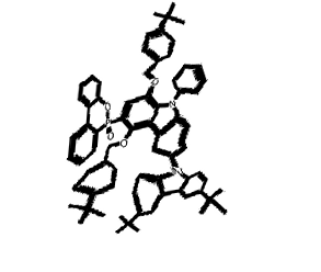 CC(C)(C)c1ccc(COc2c(P3(=O)Oc4ccccc4-c4ccccc43)cc(OCc3ccc(C(C)(C)C)cc3)c3c2c2cc(-n4c5ccc(C(C)(C)C)cc5c5cc(C(C)(C)C)ccc54)ccc2n3-c2ccccc2)cc1